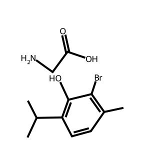 Cc1ccc(C(C)C)c(O)c1Br.NCC(=O)O